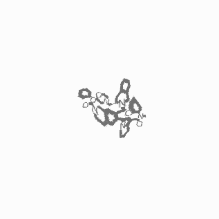 CN(C(=O)c1cc(-c2cc3c(cc2C(=O)N2Cc4ccccc4C[C@H]2CN2CCOCC2)CN(C(=O)Oc2ccccc2)CC3)n2c1CCCC2)c1ccccc1